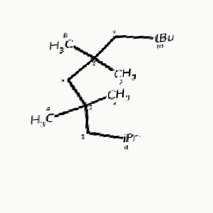 C[C](C)CC(C)(C)CC(C)(C)CC(C)(C)C